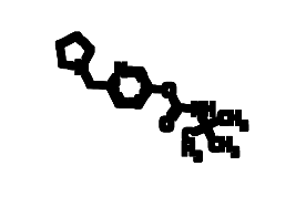 CC(C)(C)NC(=O)Oc1ccc(CN2CCCC2)nc1